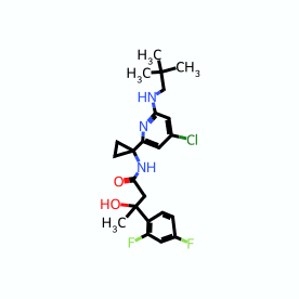 CC(C)(C)CNc1cc(Cl)cc(C2(NC(=O)CC(C)(O)c3ccc(F)cc3F)CC2)n1